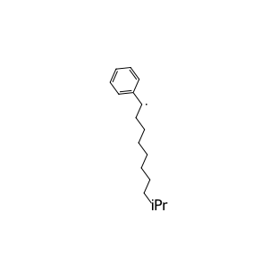 CC(C)CCCCCCC[CH]c1ccccc1